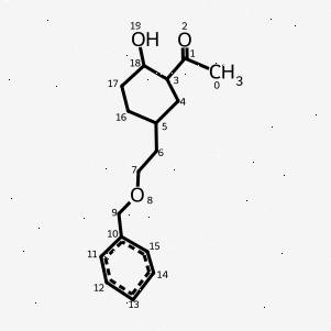 CC(=O)C1CC(CCOCc2ccccc2)CCC1O